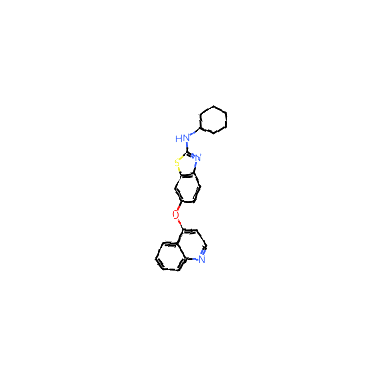 c1ccc2c(Oc3ccc4nc(NC5CCCCC5)sc4c3)ccnc2c1